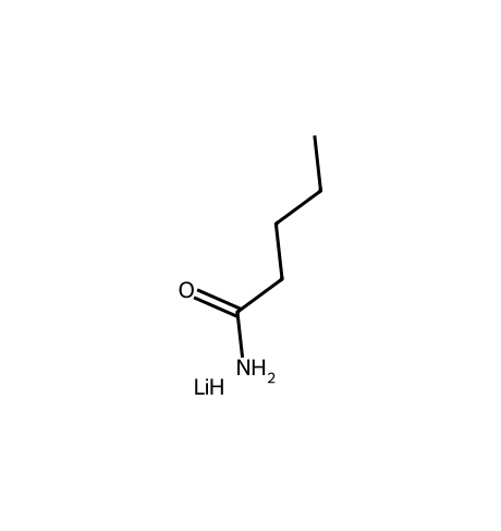 CCCCC(N)=O.[LiH]